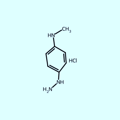 CNc1ccc(NN)cc1.Cl